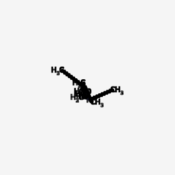 CCCCCCCCCCCCCCCCCCN(CC)c1ccc(C2=C(O)/C(=C3C=C/C(=N\C(CC)CCCCCCCCCCCCCCCCC)C=C/3O)C2=O)c(O)c1.O